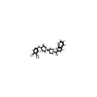 CC1CN(C2CCN(C(=O)c3ccc4cccnc4n3)CC2)CCC1Cc1ccc(Cl)c(Cl)c1